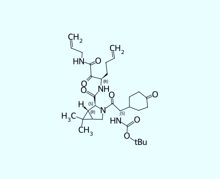 C=CCC[C@@H](NC(=O)[C@@H]1[C@@H]2C(CN1C(=O)[C@@H](NC(=O)OC(C)(C)C)C1CCC(=O)CC1)C2(C)C)C(=O)C(=O)NCC=C